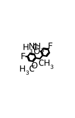 COc1cc(F)ccc1C(C)c1ccc(F)cc1OC.N